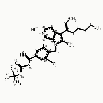 CC=C(CCCCC)c1c(C)n(Cc2c(F)cc(C(=N)NC(=O)OC(C)(C)C)cc2Cl)c2cnccc12.I